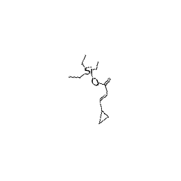 C=C(C=CC1CC1)O[Si](CC)(CC)CC